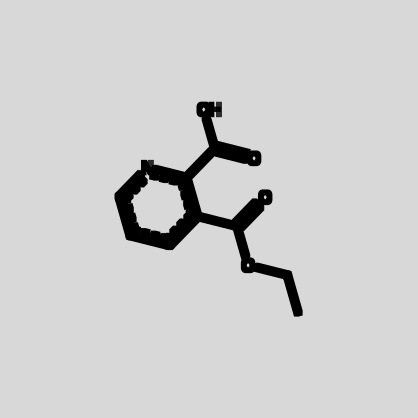 CCOC(=O)c1cccnc1C(=O)O